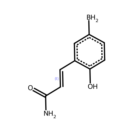 Bc1ccc(O)c(/C=C/C(N)=O)c1